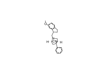 COc1ccc2c(c1)C(CN1C[C@H]3CC[C@@H]1CN3c1ccccc1)CC2